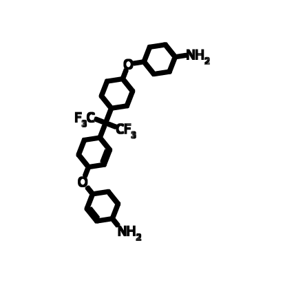 NC1C=CC(OC2C=CC(C(C3CCC(OC4CCC(N)CC4)CC3)(C(F)(F)F)C(F)(F)F)CC2)CC1